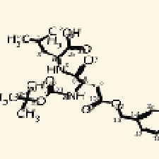 CC(C)C[C@H](NC(=O)[C@H](CC(=O)OCc1ccccc1)NC(=O)OC(C)(C)C)C(=O)O